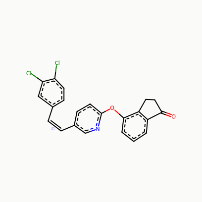 O=C1CCc2c(Oc3ccc(/C=C\c4ccc(Cl)c(Cl)c4)cn3)cccc21